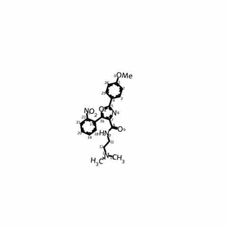 COc1ccc(-c2nc(C(=O)NCCN(C)C)c(-c3ccccc3[N+](=O)[O-])o2)cc1